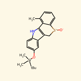 Cc1cccc2c1-c1[nH]c3ccc(O[Si](C)(C)C(C)(C)C)cc3c1C[S+]2[O-]